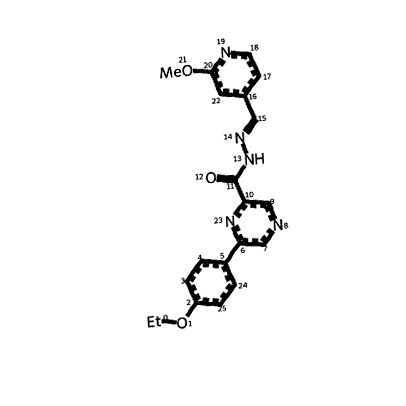 CCOc1ccc(-c2cncc(C(=O)NN=Cc3ccnc(OC)c3)n2)cc1